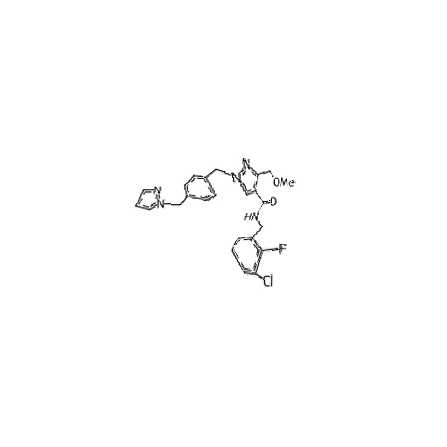 COCc1nn(Cc2ccc(Cn3cccn3)cc2)cc1C(=O)NCc1cccc(Cl)c1F